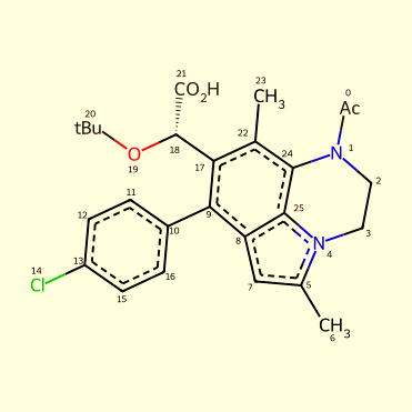 CC(=O)N1CCn2c(C)cc3c(-c4ccc(Cl)cc4)c([C@H](OC(C)(C)C)C(=O)O)c(C)c1c32